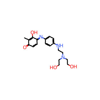 CC1=C(O)/C(=N/c2ccc(NCCN(CCO)CCO)cc2)C=CC1=O